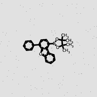 CC1(C)OB(c2ccc(-c3ccccc3)c3oc4ccccc4c23)OC1(C)C